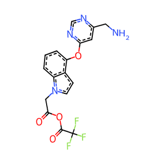 NCc1cc(Oc2cccc3c2ccn3CC(=O)OC(=O)C(F)(F)F)ncn1